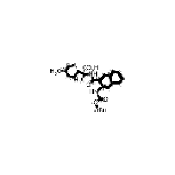 CC(C)(C)OC(=O)Nc1cc2ccccc2cc1C(=O)N[C@](C)(C(=O)O)[C@H]1CC[C@H](C)CC1